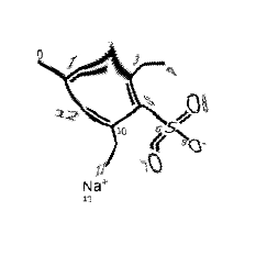 Cc1cc(C)c(S(=O)(=O)[O-])c(C)c1.[Na+]